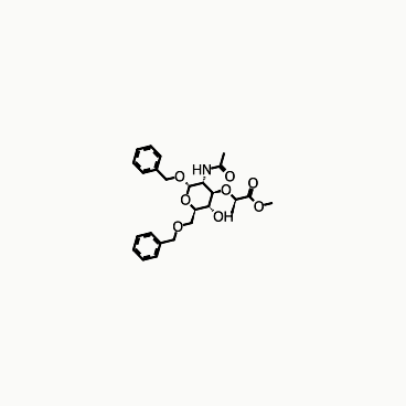 COC(=O)[C@@H](C)O[C@H]1[C@H](O)[C@@H](COCc2ccccc2)O[C@H](OCc2ccccc2)[C@@H]1NC(C)=O